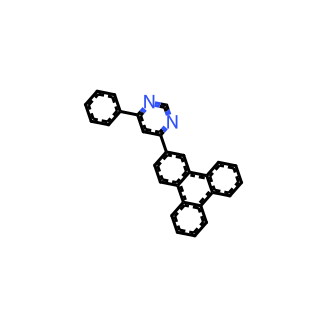 c1ccc(-c2cc(-c3ccc4c5ccccc5c5ccccc5c4c3)ncn2)cc1